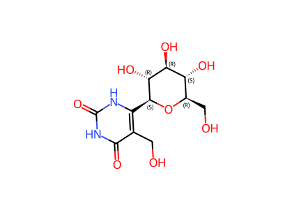 O=c1[nH]c([C@@H]2O[C@H](CO)[C@@H](O)[C@H](O)[C@H]2O)c(CO)c(=O)[nH]1